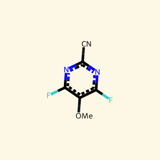 COc1c(F)nc(C#N)nc1F